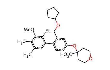 CCc1c(-c2ccc(OC3(C(=O)O)CCOCC3)cc2COC2CCCC2)cc(C)c(C)c1OC